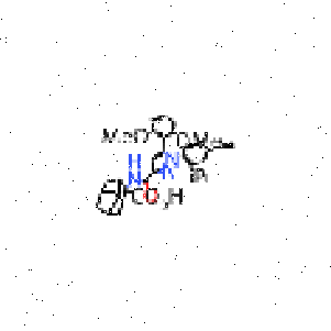 C#Cc1ccc(-n2nc(C(=O)NC3(C(=O)O)C4CC5CC(C4)CC3C5)cc2-c2c(OC)cccc2OC)c(C(C)C)c1